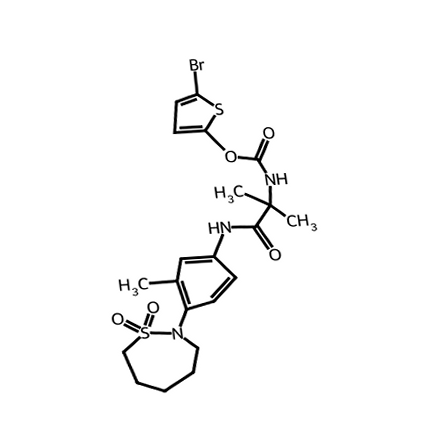 Cc1cc(NC(=O)C(C)(C)NC(=O)Oc2ccc(Br)s2)ccc1N1CCCCCS1(=O)=O